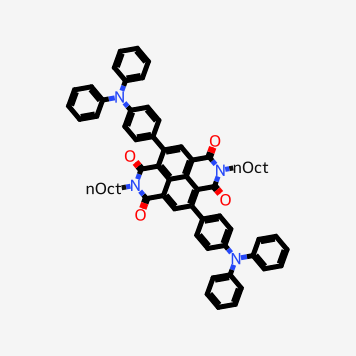 CCCCCCCCN1C(=O)c2cc(-c3ccc(N(c4ccccc4)c4ccccc4)cc3)c3c4c(cc(-c5ccc(N(c6ccccc6)c6ccccc6)cc5)c(c24)C1=O)C(=O)N(CCCCCCCC)C3=O